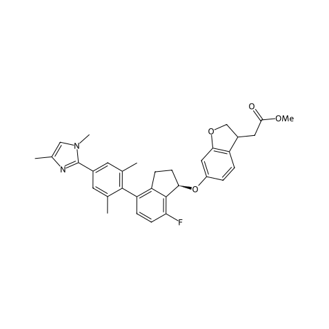 COC(=O)CC1COc2cc(O[C@@H]3CCc4c(-c5c(C)cc(-c6nc(C)cn6C)cc5C)ccc(F)c43)ccc21